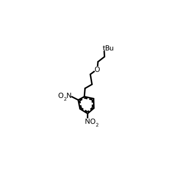 CC(C)(C)CCOCCCc1ccc([N+](=O)[O-])cc1[N+](=O)[O-]